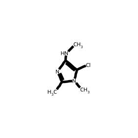 CNc1nc(C)n(C)c1Cl